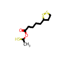 CC(S)OC(=O)CCCCC1CCSS1